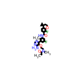 C=CC(=O)N(C)CCOc1c(N)ncnc1-c1cc(F)cc(NC(=O)c2ccc3c(c2F)OCCC32CC2)c1C